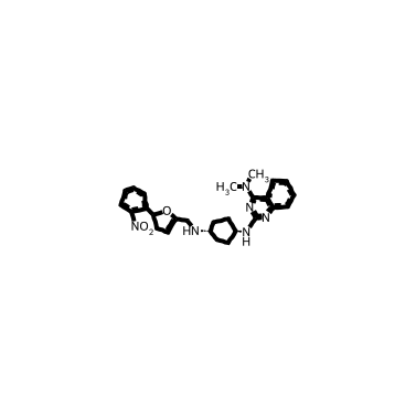 CN(C)c1nc(N[C@H]2CC[C@@H](NCC3=CCC(c4ccccc4[N+](=O)[O-])O3)CC2)nc2ccccc12